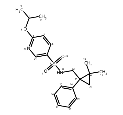 CC(C)Oc1ccc(S(=O)(=O)NCC2(c3ccccc3)CC2(C)C)cn1